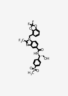 CS(=O)(=O)c1ccc([C@@H](CO)NC(=O)c2ccc3c(c2)nc(C(F)(F)F)n3Cc2cccc3c2OC(F)(F)O3)cc1